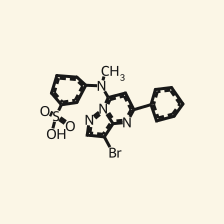 CN(c1cccc(S(=O)(=O)O)c1)c1cc(-c2ccccc2)nc2c(Br)cnn12